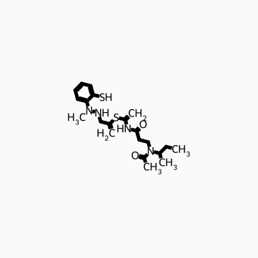 C=C(CNN(C)c1ccccc1S)SC(=C)NC(=O)CCN(C(C)=O)C(C)CC